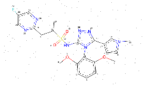 COc1cccc(OC)c1-n1c(NS(=O)(=O)C(C)Cc2ncc(F)cn2)nnc1-c1ccn(C)c1